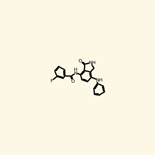 O=C(Nc1ccc(Nc2ccccc2)c2c1C(=O)NC2)c1cccc(F)c1